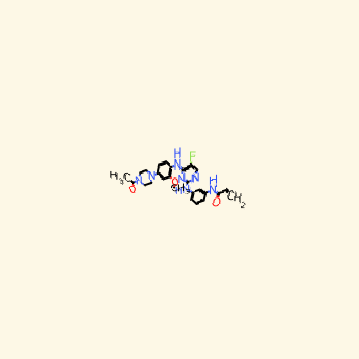 C=CC(=O)Nc1cccc(Nc2ncc(F)c(Nc3ccc(N4CCN(C(C)=O)CC4)cc3OC)n2)c1